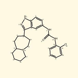 O=C(Nc1ccc2[nH]nc(C3CCC4CCCCN4CC3)c2c1)Nc1ccccc1Cl